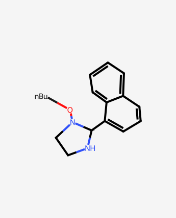 CCCCON1CCN[C]1c1cccc2ccccc12